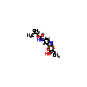 CCC(Sc1nc2ccc(NC(=O)OCC(C)C)cc2s1)C(=O)O